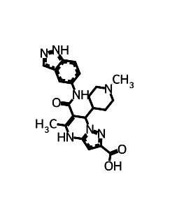 CC1=C(C(=O)Nc2ccc3[nH]ncc3c2)C(C2CCN(C)CC2)n2nc(C(=O)O)cc2N1